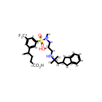 CC(CCC(=O)O)c1cc(C(F)(F)F)cc(S(=O)(=O)N(C)C[C@@H](O)CNC(C)(C)CC2Cc3ccccc3C2)c1